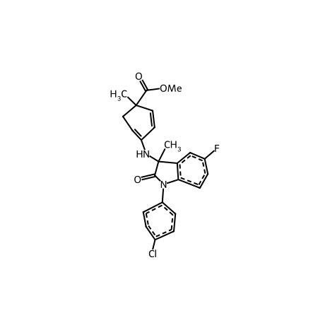 COC(=O)C1(C)C=CC(NC2(C)C(=O)N(c3ccc(Cl)cc3)c3ccc(F)cc32)=CC1